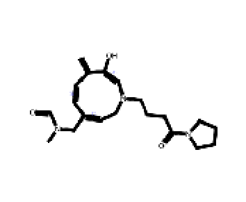 C=C1/C=C\C(CN(C)C=O)=C/CN(CCCC(=O)N2CCCC2)/C=C\1O